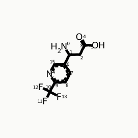 NC(CC(=O)O)c1ccc(C(F)(F)F)nc1